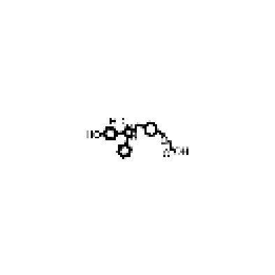 Cc1c(-c2ccc(O)cc2)c(-c2ccccc2)nn1CC1CCC(COCC(=O)O)CC1